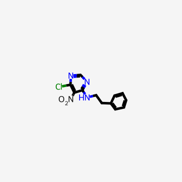 O=[N+]([O-])c1c(Cl)ncnc1NCCc1ccccc1